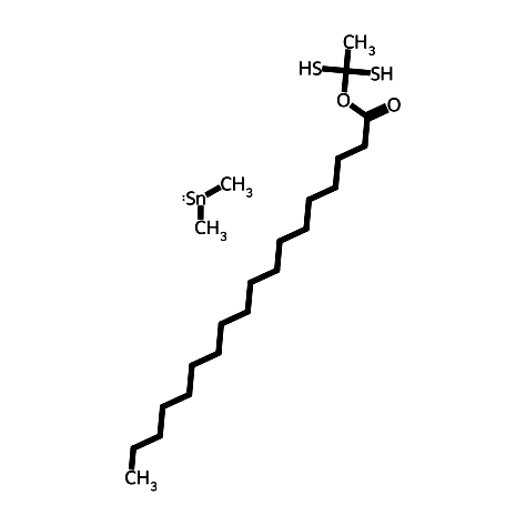 CCCCCCCCCCCCCCCCCC(=O)OC(C)(S)S.[CH3][Sn][CH3]